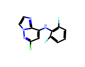 Fc1cccc(F)c1Nc1cc(Cl)nn2ccnc12